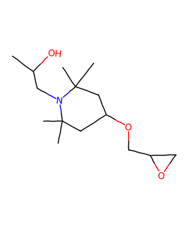 CC(O)CN1C(C)(C)CC(OCC2CO2)CC1(C)C